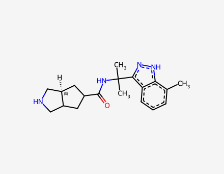 Cc1cccc2c(C(C)(C)NC(=O)C3CC4CNC[C@H]4C3)n[nH]c12